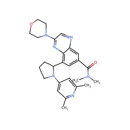 Cc1cc(N2CCCC2c2cc(C(=O)N(C)C)cc3ncc(N4CCOCC4)nc23)cc(C)n1